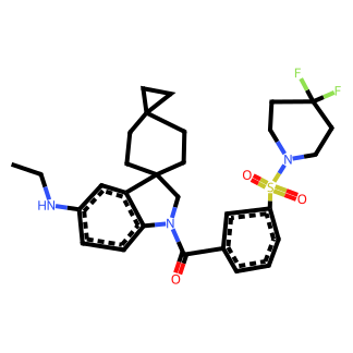 CCNc1ccc2c(c1)C1(CCC3(CC3)CC1)CN2C(=O)c1cccc(S(=O)(=O)N2CCC(F)(F)CC2)c1